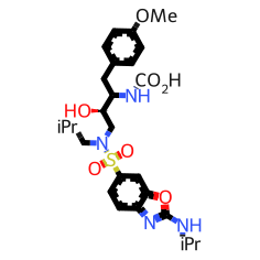 COc1ccc(CC(NC(=O)O)[C@H](O)CN(CC(C)C)S(=O)(=O)c2ccc3nc(NC(C)C)oc3c2)cc1